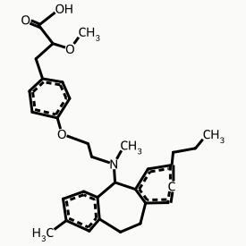 CCCc1ccc2c(c1)C(N(C)CCOc1ccc(CC(OC)C(=O)O)cc1)c1ccc(C)cc1CC2